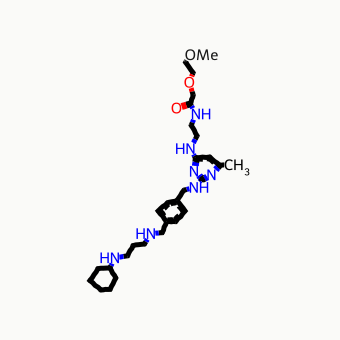 COCCOCC(=O)NCCNc1cc(C)nc(NCc2ccc(CNCCCNC3CCCCC3)cc2)n1